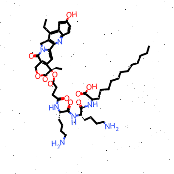 CCCCCCCCCCCCC(NC(=O)[C@H](CCCCN)NC(=O)[C@H](CCCCN)NC(=O)CCC(=O)O[C@]1(CC)C(=O)OCc2c1cc1n(c2=O)Cc2c-1nc1ccc(O)cc1c2CC)C(=O)O